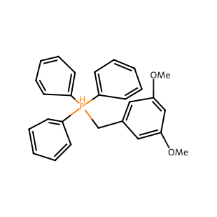 COc1cc(C[PH](c2ccccc2)(c2ccccc2)c2ccccc2)cc(OC)c1